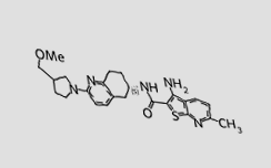 COCC1CCN(c2ccc3c(n2)CC[C@H](NC(=O)c2sc4nc(C)ccc4c2N)C3)C1